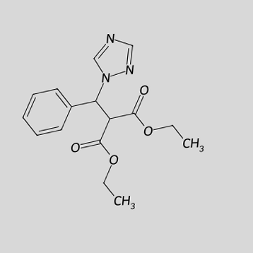 CCOC(=O)C(C(=O)OCC)C(c1ccccc1)n1cncn1